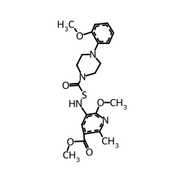 COC(=O)c1cc(NSC(=O)N2CCN(c3ccccc3OC)CC2)c(OC)nc1C